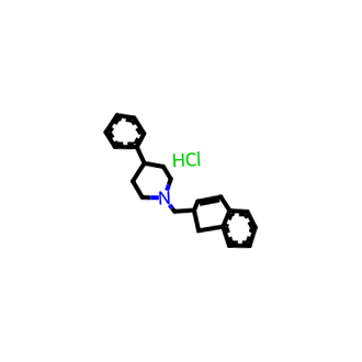 C1=CC(CN2CCC(c3ccccc3)CC2)Cc2ccccc21.Cl